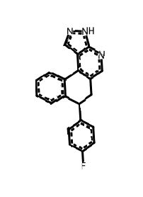 Fc1ccc(C2Cc3cnc4[nH]ncc4c3-c3ccccc32)cc1